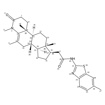 CC1=C2N(C)C(=O)CC[C@]2(C)[C@H]2CC[C@]3(C)[C@@H](CC(=O)Nc4nc5ccc(C)cc5s4)CC[C@H]3[C@@H]2C1